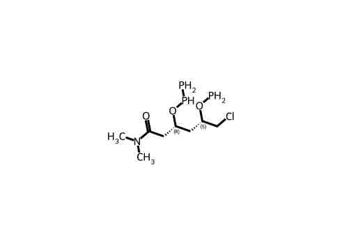 CN(C)C(=O)C[C@@H](C[C@@H](CCl)OP)OPP